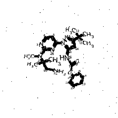 CN(c1nccc(-n2nc(C(C)(C)C)cc2NC(=O)Oc2ccccc2)n1)C(C)(C)CN